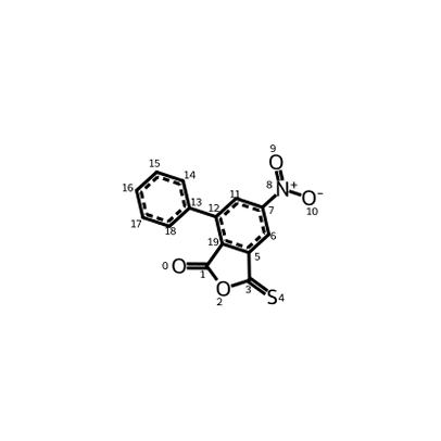 O=C1OC(=S)c2cc([N+](=O)[O-])cc(-c3ccccc3)c21